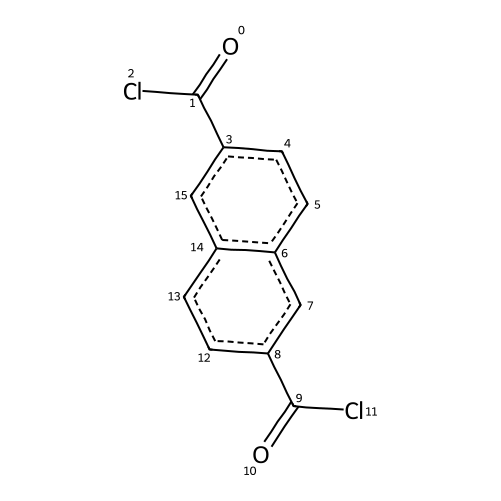 O=C(Cl)c1ccc2cc(C(=O)Cl)ccc2c1